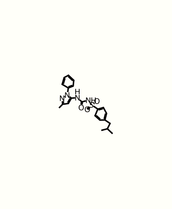 Cc1cc(NC(=O)NS(=O)(=O)c2ccc(CC(C)C)cc2)n(-c2ccccc2)n1